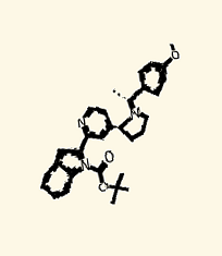 COc1ccc([C@@H](C)N2CCC[C@H]2c2ccnc(-c3cc4ccccc4n3C(=O)OC(C)(C)C)c2)cc1